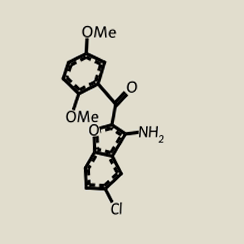 COc1ccc(OC)c(C(=O)c2oc3ccc(Cl)cc3c2N)c1